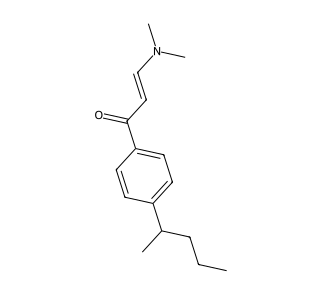 CCCC(C)c1ccc(C(=O)/C=C/N(C)C)cc1